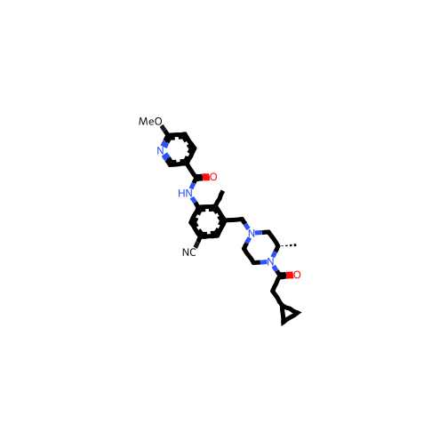 COc1ccc(C(=O)Nc2cc(C#N)cc(CN3CCN(C(=O)CC4CC4)[C@@H](C)C3)c2C)cn1